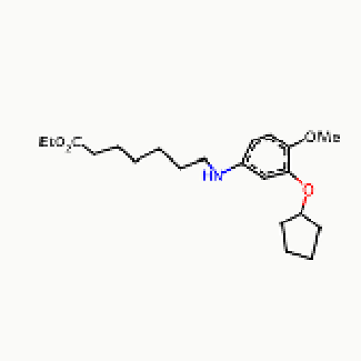 CCOC(=O)CCCCCCNc1ccc(OC)c(OC2CCCC2)c1